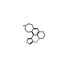 CN1CCOc2cc3c(c(-c4ccoc4)c21)CCNCC3